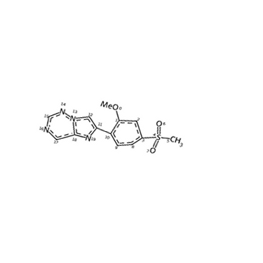 COc1cc(S(C)(=O)=O)ccc1-c1cn2ncncc2n1